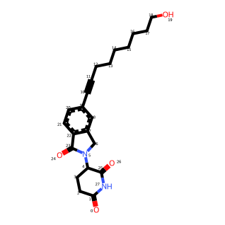 O=C1CCC(N2Cc3cc(C#CCCCCCCCO)ccc3C2=O)C(=O)N1